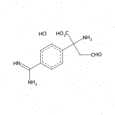 Cl.N=C(N)c1ccc(C(N)(CC=O)C(=O)O)cc1